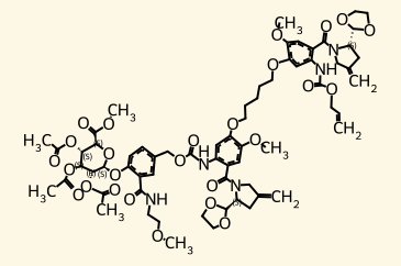 C=CCOC(=O)Nc1cc(OCCCCCOc2cc(NC(=O)OCc3ccc(O[C@@H]4O[C@H](C(=O)OC)[C@@H](OC(C)=O)[C@H](OC(C)=O)[C@H]4OC(C)=O)c(C(=O)NCCOC)c3)c(C(=O)N3CC(=C)C[C@H]3C3OCCO3)cc2OC)c(OC)cc1C(=O)N1CC(=C)C[C@H]1C1OCCO1